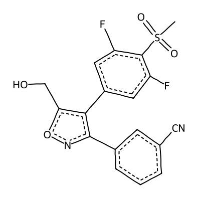 CS(=O)(=O)c1c(F)cc(-c2c(-c3cccc(C#N)c3)noc2CO)cc1F